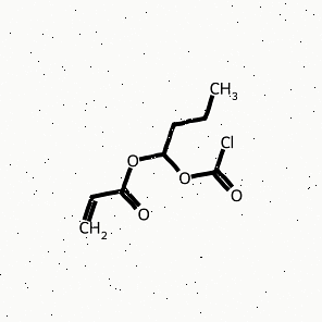 C=CC(=O)OC(CCC)OC(=O)Cl